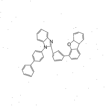 C1=CC2Oc3c(-c4cccc(-c5nc6ccccc6n5-c5ccc(-c6ccccc6)cc5)c4)cccc3C2C=C1